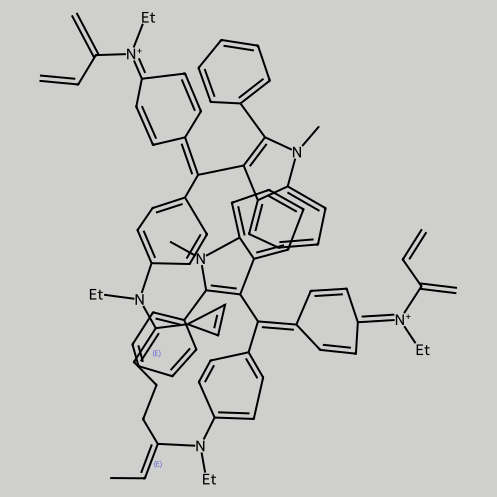 C=CC(=C)[N+](CC)=C1C=CC(=C(c2ccc(N(CC)/C(=C/C)CC/C=C(\C3C=C3)N(CC)c3ccc(C(=C4C=CC(=[N+](CC)C(=C)C=C)C=C4)c4c(-c5ccccc5)n(C)c5ccccc45)cc3)cc2)c2c(-c3ccccc3)n(C)c3ccccc23)C=C1